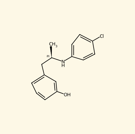 C[C@H](Cc1cccc(O)c1)Nc1ccc(Cl)cc1